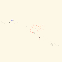 CCCCCCCC/C=C\CCCCCCCC(=O)O[C@H](COC(=O)CCCCCCCCCCCCCCC)COP(=O)(O)O